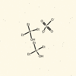 CC[N+](O)(CC)CC.CC[N+](O)(CC)CC.O=S(=O)([O-])[O-]